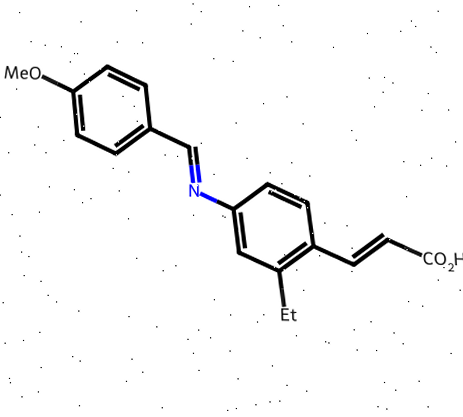 CCc1cc(N=Cc2ccc(OC)cc2)ccc1C=CC(=O)O